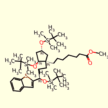 COC(=O)CCCCCC[C@@]1(CC[C@@H](O[Si](C)(C)C(C)(C)C)c2cc3ccccc3s2)C[C@@H](O[Si](C)(C)C(C)(C)C)C[C@@H]1O[Si](C)(C)C(C)(C)C